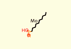 CCCCCCCCCC[PH](=O)O.[Mo]